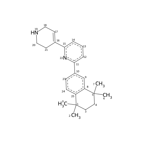 CC1(C)CCC(C)(C)c2cc(-c3cccc(C4=CCNCC4)n3)ccc21